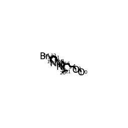 COCOCCCc1cn(-c2ccc(Br)cn2)nc1C(C)C